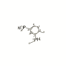 CPc1cc(P)ccc1C